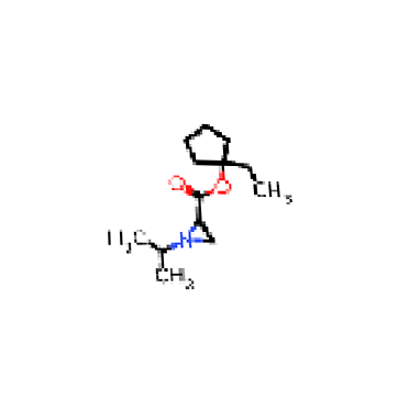 CCC1(OC(=O)C2CN2C(C)C)CCCC1